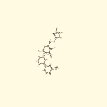 Cc1nc(COc2cc(C)n(-c3ccnc(-c4ccnc(C(C)(C)C)n4)c3)c(=O)c2C)cs1